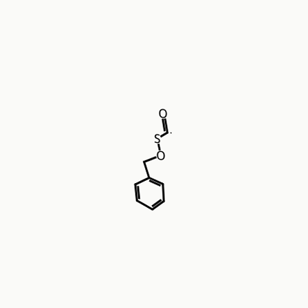 O=[C]SOCc1ccccc1